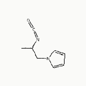 CC(Cn1cccc1)N=C=O